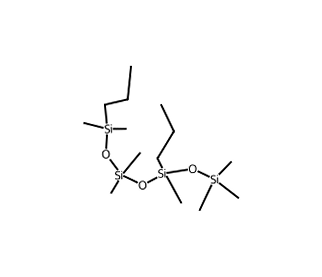 CCC[Si](C)(C)O[Si](C)(C)O[Si](C)(CCC)O[Si](C)(C)C